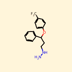 NNCCC(Oc1ccc(C(F)(F)F)cc1)c1ccccc1